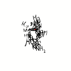 CO[C@H]1[C@H]2OP(=O)(O)OCC34C[C@@H]3[C@@H](n3cnc5c(N)ncnc53)[C@H](O)[C@@H]4O[P@@](=O)(S)OC[C@H]1O[C@H]2n1cnc2c(=O)[nH]c(N)nc21